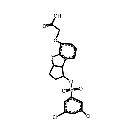 O=C(O)COc1cccc2c1OC1CCC(OS(=O)(=O)c3cc(Cl)cc(Cl)c3)C21